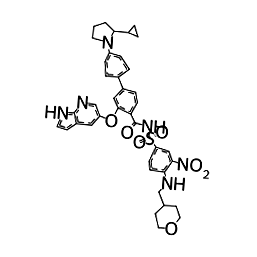 O=C(NS(=O)(=O)c1ccc(NCC2CCOCC2)c([N+](=O)[O-])c1)c1ccc(-c2ccc(N3CCCC3C3CC3)cc2)cc1Oc1cnc2[nH]ccc2c1